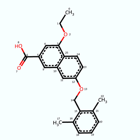 CCOc1cc(C(=O)O)cc2cc(OCc3c(C)cccc3C)ccc12